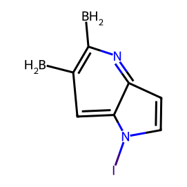 Bc1cc2c(ccn2I)nc1B